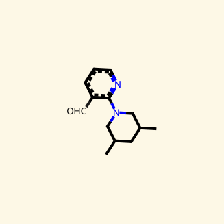 CC1CC(C)CN(c2ncccc2C=O)C1